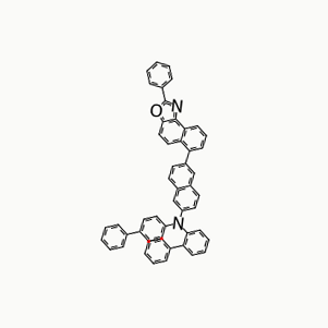 c1ccc(-c2ccc(N(c3ccc4cc(-c5cccc6c5ccc5oc(-c7ccccc7)nc56)ccc4c3)c3ccccc3-c3ccccc3)cc2)cc1